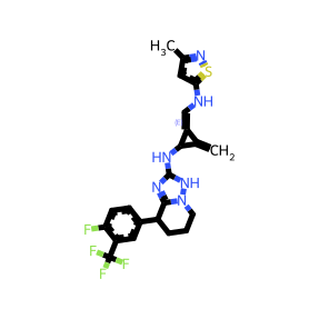 C=C1/C(=C\Nc2cc(C)ns2)C1NC1N=C2C(c3ccc(F)c(C(F)(F)F)c3)CCCN2N1